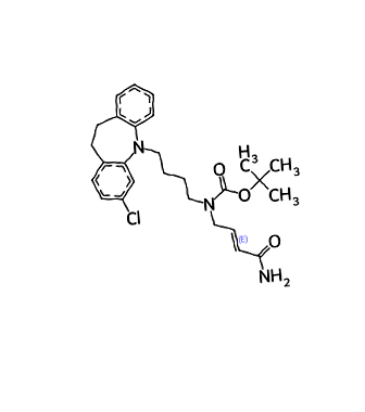 CC(C)(C)OC(=O)N(C/C=C/C(N)=O)CCCCN1c2ccccc2CCc2ccc(Cl)cc21